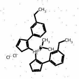 CCc1cccc(C2=[C]([Hf+2]([C]3=C(c4cccc(CC)c4)C=CC3)=[Si](C)C)CC=C2)c1.[Cl-].[Cl-]